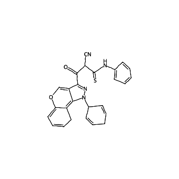 N#CC(C(=O)c1nn(C2C=CCC=C2)c2c1=COC1=CC=CCC=21)C(=S)Nc1ccccc1